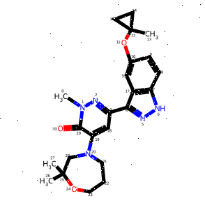 Cn1nc(-c2n[nH]c3ccc(OC4(C)CC4)cc23)cc(N2CCCOC(C)(C)C2)c1=O